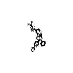 O=C(C1CCN(C2COC2)CC1)N(Cc1cn2ccc(-c3nnc(C(F)F)o3)cc2n1)c1ccccc1